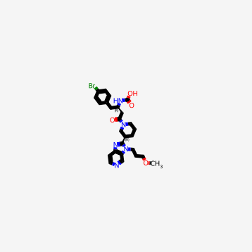 COCCCn1c([C@@H]2CCCN(C(=O)C[C@@H](Cc3ccc(Br)cc3)NC(=O)O)C2)nc2ccncc21